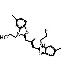 CC(/C=C1\Sc2ccc(C)cc2N1CCO)=C\c1sc2ccc(C)cc2[n+]1CCF